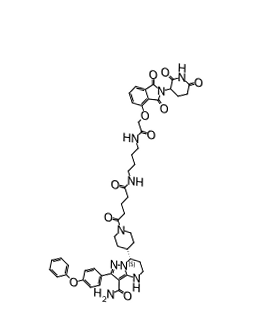 NC(=O)c1c(-c2ccc(Oc3ccccc3)cc2)nn2c1NCC[C@H]2C1CCN(C(=O)CCCC(=O)NCCCCNC(=O)COc2cccc3c2C(=O)N(C2CCC(=O)NC2=O)C3=O)CC1